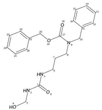 O=C(NCO)NCCCN(Cc1ccccc1)C(=O)OCc1ccccc1